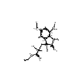 CCOC(=O)C(F)(F)CC1(C)C(=O)N(C)c2c(OC)cc(OC)cc21